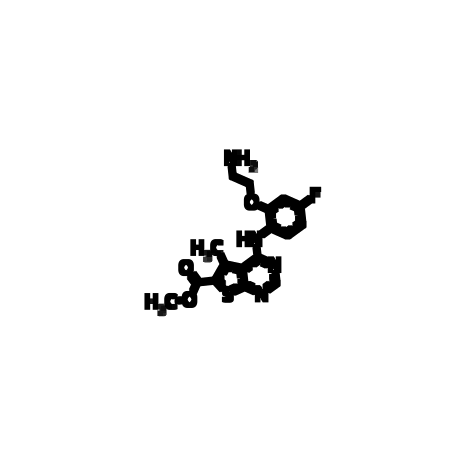 COC(=O)c1sc2ncnc(Nc3ccc(F)cc3OCCN)c2c1C